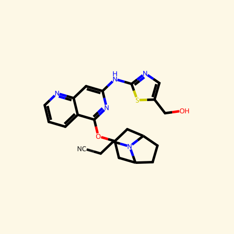 N#CCCN1C2CCC1CC(Oc1nc(Nc3ncc(CO)s3)cc3ncccc13)C2